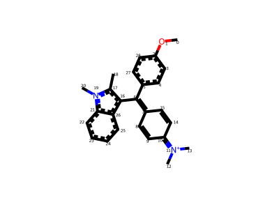 COc1ccc(C(=C2C=CC(=[N+](C)C)C=C2)c2c(C)n(C)c3ccccc23)cc1